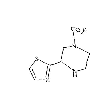 O=C(O)N1CCNC(c2nccs2)C1